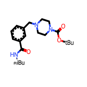 CC[C@@H](C)NC(=O)c1cccc(CN2CCN(C(=O)OC(C)(C)C)CC2)c1